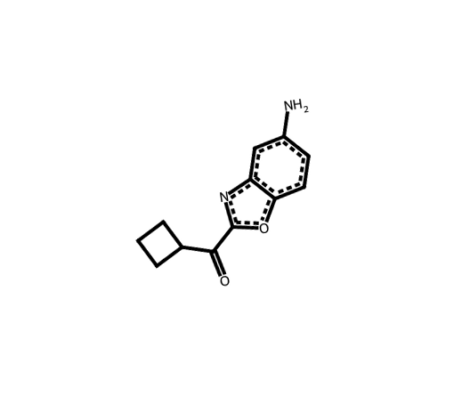 Nc1ccc2oc(C(=O)C3CCC3)nc2c1